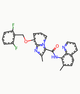 Cc1ccc2cccnc2c1NC(=O)c1c(C)nc2c(OCc3c(F)cccc3F)cccn12